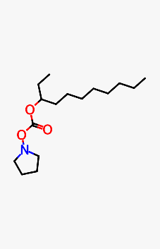 CCCCCCCCC(CC)OC(=O)ON1CCCC1